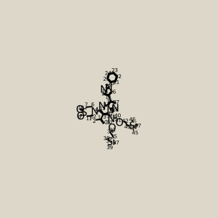 C=C(C)c1c(N2CCS(=O)(=O)CC2)nc2c(-c3cnn(-c4ccccc4)c3)cnn2c1N(COCC[Si](C)(C)C)COCC[Si](C)(C)C